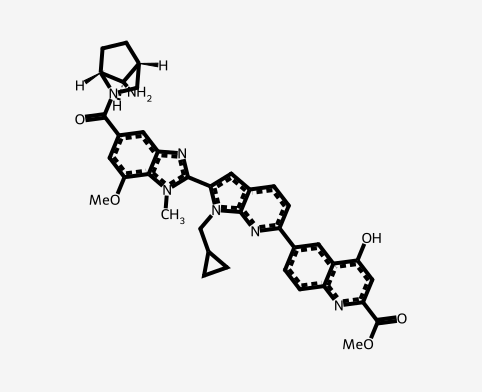 COC(=O)c1cc(O)c2cc(-c3ccc4cc(-c5nc6cc(C(=O)N7C[C@H]8CC[C@@H]7[C@@H]8N)cc(OC)c6n5C)n(CC5CC5)c4n3)ccc2n1